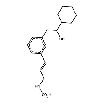 O=C(O)NCC=Cc1cccc(CC(O)C2CCCCC2)c1